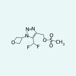 CS(=O)(=O)OCc1nnn(C2COC2)c1C(F)F